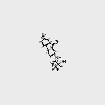 CC(O)(C(=O)Nc1ccc2c(c1)C(=O)c1cc(Br)ccc1-2)C(F)(F)F